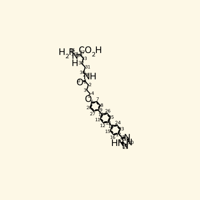 O=C(CCCOc1ccc(-c2ccc(-c3ccc(-c4nnn[nH]4)cc3)cc2)cc1)NCCCC[C@H](NP)C(=O)O